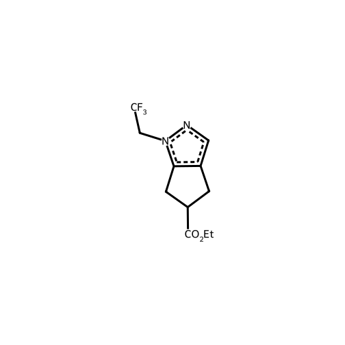 CCOC(=O)C1Cc2cnn(CC(F)(F)F)c2C1